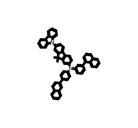 CC1(C)c2cc(N(c3ccc(-c4ccc5ccccc5c4)cc3)c3cccc(-c4cccc5ccccc45)c3)ccc2-c2ccc(-n3c4ccccc4c4ccccc43)cc21